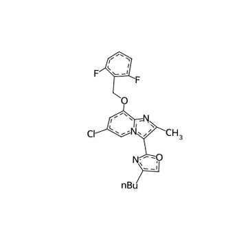 CCCCc1coc(-c2c(C)nc3c(OCc4c(F)cccc4F)cc(Cl)cn23)n1